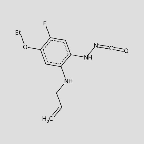 C=CCNc1cc(OCC)c(F)cc1NN=C=O